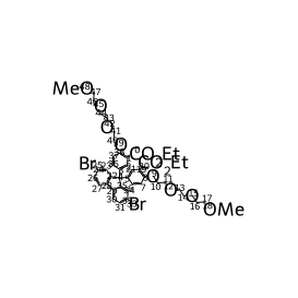 CCOC(=O)c1cc(C2(c3ccc(OCCOCCOCCOC)c(C(=O)OCC)c3)c3cc(Br)ccc3-c3ccc(Br)cc32)ccc1OCCOCCOCCOC